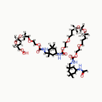 CC(=O)NC1CC(C)(C)CC(C)(CNC(=O)OCCOCCC[Si](C)(C)O[Si](C)(C)O[Si](C)(C)CCCOCCOC(=O)NC2CC(C)(C)CC(C)(CNC(=O)OCCOC[Si](C)(C)O[Si](C)(C)O[Si](C)(C)COO)C2)C1